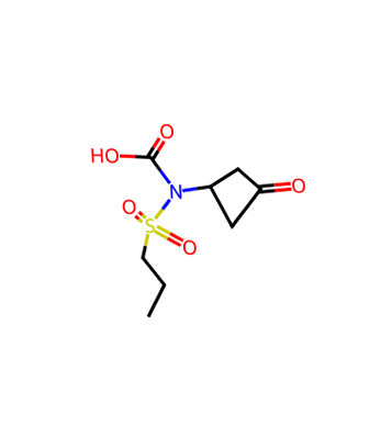 CCCS(=O)(=O)N(C(=O)O)C1CC(=O)C1